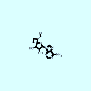 Nc1ncnc2c1ncn2C1O[C@@]2(CC[C@@H]2CO)C(O)C1O